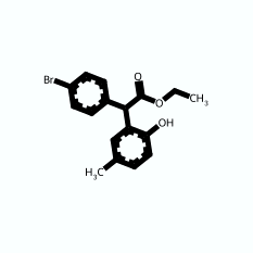 CCOC(=O)C(c1ccc(Br)cc1)c1cc(C)ccc1O